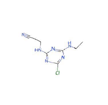 CCNc1nc(Cl)nc(NCC#N)n1